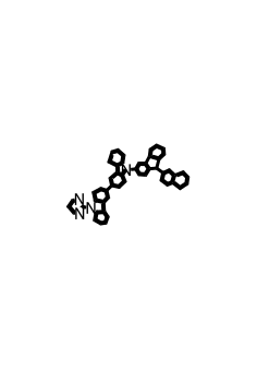 c1cnc(-n2c3ccccc3c3cc(-c4ccc5c(c4)c4ccccc4n5-c4ccc5c(c4)-c4ccccc4C5c4ccc5ccccc5c4)ccc32)nc1